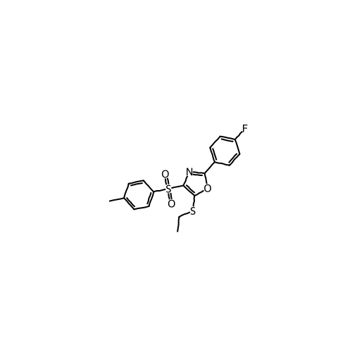 CCSc1oc(-c2ccc(F)cc2)nc1S(=O)(=O)c1ccc(C)cc1